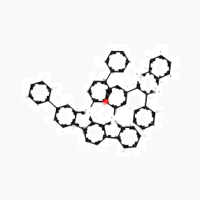 c1ccc(-c2ccc(-n3c4cc(-c5ccccc5)ccc4c4ccc5c6ccccc6n(-c6cccc(-c7nc8ccccc8nc7-c7ccccc7)c6)c5c43)cc2)cc1